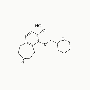 Cl.Clc1ccc2c(c1SCC1CCCCO1)CCNCC2